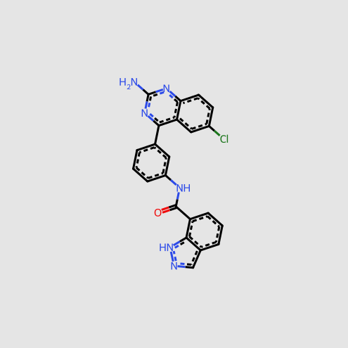 Nc1nc(-c2cccc(NC(=O)c3cccc4cn[nH]c34)c2)c2cc(Cl)ccc2n1